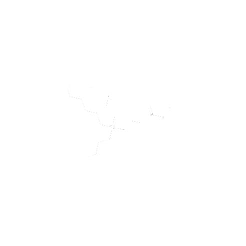 C=CC(=O)OCC[N+](CCCC)(CCCC)CCCCCC